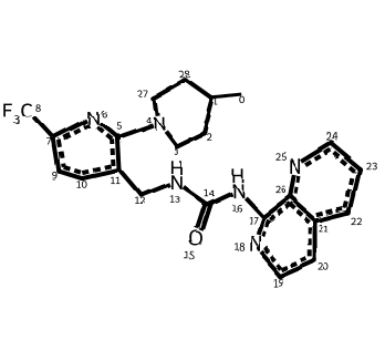 CC1CCN(c2nc(C(F)(F)F)ccc2CNC(=O)Nc2nccc3cccnc23)CC1